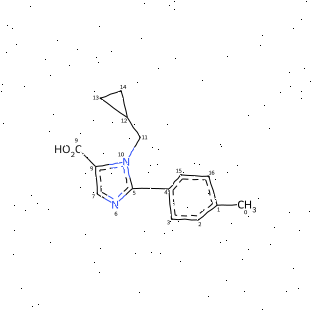 Cc1ccc(-c2ncc(C(=O)O)n2CC2CC2)cc1